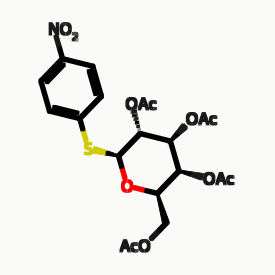 CC(=O)OC[C@H]1O[C@@H](Sc2ccc([N+](=O)[O-])cc2)[C@H](OC(C)=O)[C@@H](OC(C)=O)[C@H]1OC(C)=O